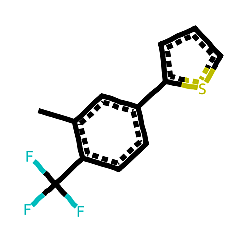 Cc1cc(-c2cccs2)ccc1C(F)(F)F